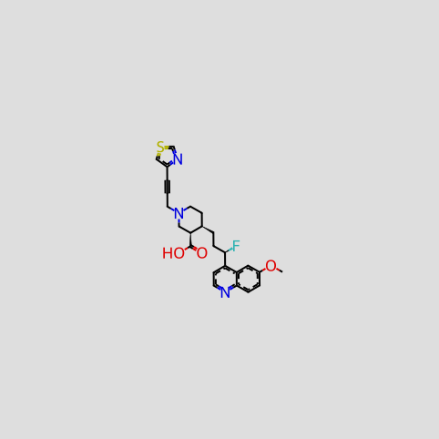 COc1ccc2nccc([C@H](F)CC[C@@H]3CCN(CC#Cc4cscn4)C[C@@H]3C(=O)O)c2c1